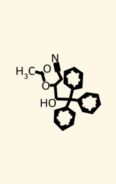 CC(=O)OC(CC#N)C(O)C(c1ccccc1)(c1ccccc1)c1ccccc1